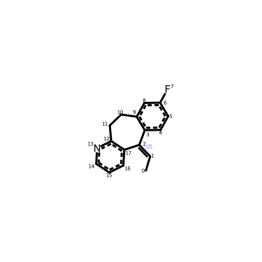 C/C=C1/c2ccc(F)cc2CCc2ncccc21